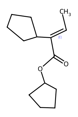 C/C=C(/C(=O)OC1CCCC1)C1CCCC1